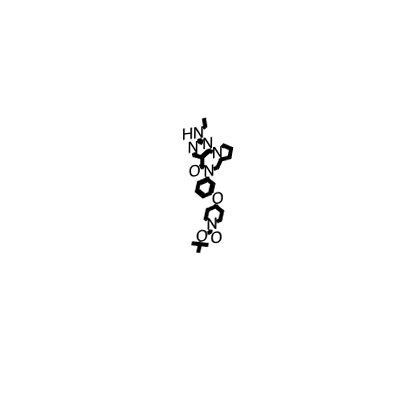 CCNc1ncc2c(n1)N1CCCC1CN(c1cccc(OC3CCN(C(=O)OC(C)(C)C)CC3)c1)C2=O